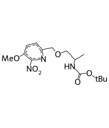 COc1ccc(COCC(C)NC(=O)OC(C)(C)C)nc1[N+](=O)[O-]